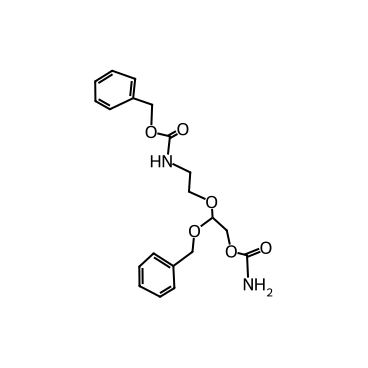 NC(=O)OCC(OCCNC(=O)OCc1ccccc1)OCc1ccccc1